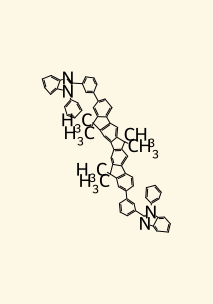 CC1(C)c2cc(-c3cccc(-c4nc5ccccc5n4-c4ccccc4)c3)ccc2-c2cc3c(cc21)-c1cc2c(cc1C3(C)C)-c1ccc(-c3cccc(-c4nc5ccccc5n4-c4ccccc4)c3)cc1C2(C)C